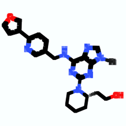 CCn1cnc2c(NCc3ccc(-c4ccoc4)nc3)nc(N3CCCC[C@H]3CCO)nc21